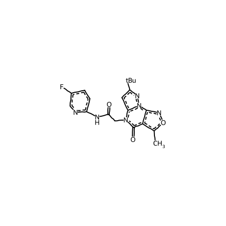 Cc1onc2c1c(=O)n(CC(=O)Nc1ccc(F)cn1)c1cc(C(C)(C)C)nn21